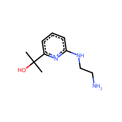 CC(C)(O)c1cccc(NCCN)n1